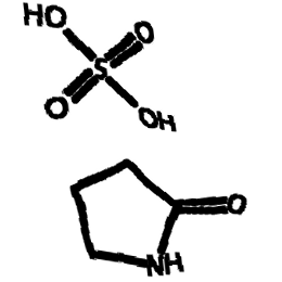 O=C1CCCN1.O=S(=O)(O)O